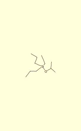 CCC[Si](CC)(CCC)OC(C)C